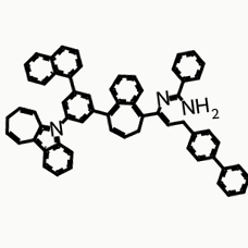 N/C(=N\C(=C/Cc1ccc(-c2ccccc2)cc1)C1=c2ccccc2=C(c2cc(-c3cccc4ccccc34)cc(-n3c4c(c5ccccc53)C=CCC=C4)c2)C=CC1)c1ccccc1